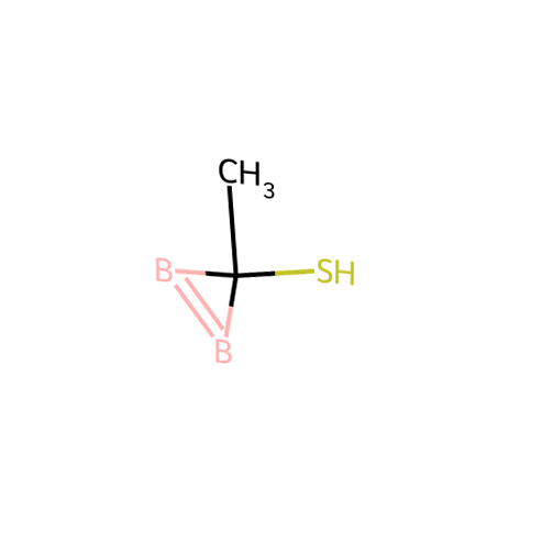 CC1(S)B=B1